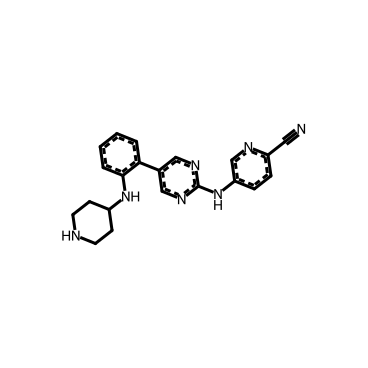 N#Cc1ccc(Nc2ncc(-c3ccccc3NC3CCNCC3)cn2)cn1